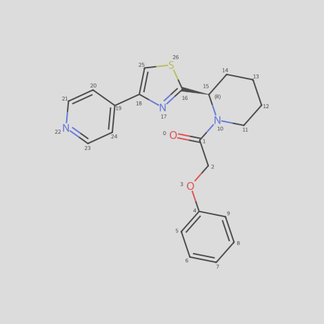 O=C(COc1ccccc1)N1CCCC[C@@H]1c1nc(-c2ccncc2)cs1